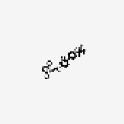 O=C1CCC(=O)N1CCOc1ccc(-c2ccc(OC(F)(F)F)cc2)nc1